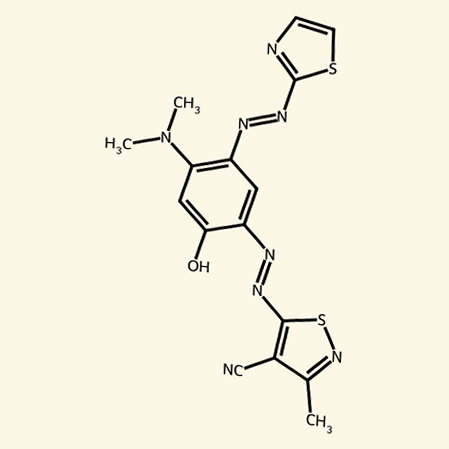 Cc1nsc(/N=N/c2cc(/N=N/c3nccs3)c(N(C)C)cc2O)c1C#N